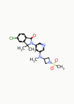 CN(c1cncc(N2C(=O)c3ccc(Cl)cc3C2(C)C)c1)C1CN(S(C)(=O)=O)C1